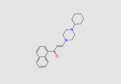 O=C(C=CN1CCN(C2CCCCC2)CC1)c1cccc2ccccc12